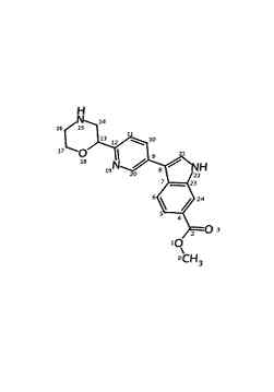 COC(=O)c1ccc2c(-c3ccc(C4CNCCO4)nc3)c[nH]c2c1